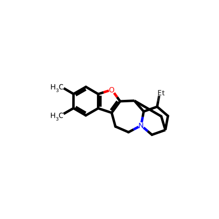 CCC1CC2CC3c4oc5cc(C)c(C)cc5c4CCN(C2)C13